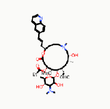 CCC(=O)O[C@@H]1CC(=O)O[C@@H](C/C=C/c2ccc3ncccc3c2)CCCN(C)C[C@H](O)[C@H](C)C[C@H](CC=O)[C@H](O[C@@H]2OC(C)[C@@H](O)C(N(C)C)C2O)[C@H]1OC